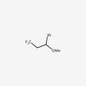 COC(CC(F)(F)F)C(C)C